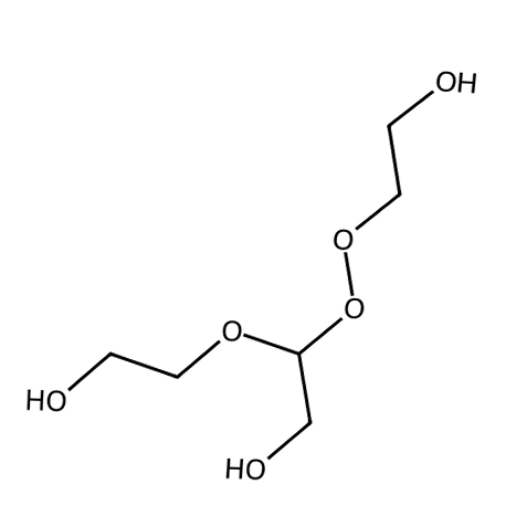 OCCOOC(CO)OCCO